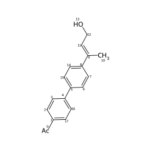 CC(=O)c1ccc(-c2ccc(C(C)=CCO)cc2)cc1